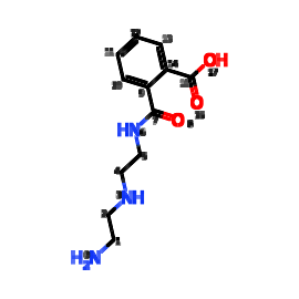 NCCNCCNC(=O)c1ccccc1C(=O)O